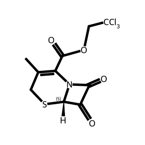 CC1=C(C(=O)OCC(Cl)(Cl)Cl)N2C(=O)C(=O)[C@@H]2SC1